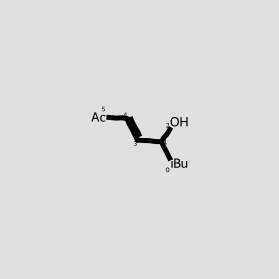 CCC(C)C(O)/C=C/C(C)=O